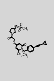 Cc1cc(OCC(=O)N2CCC(NS(C)(=O)=O)C2)cc(=O)n1[C@H](C)c1ccc(C#CC2CC2)cc1